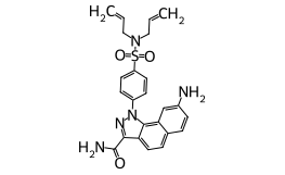 C=CCN(CC=C)S(=O)(=O)c1ccc(-n2nc(C(N)=O)c3ccc4ccc(N)cc4c32)cc1